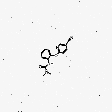 CN(C)C(=O)Nc1ccccc1Oc1ccc(C#N)cn1